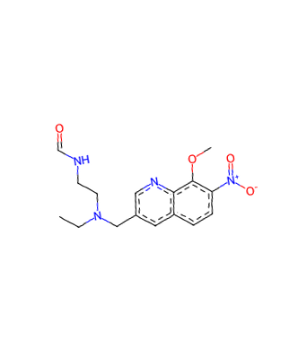 CCN(CCNC=O)Cc1cnc2c(OC)c([N+](=O)[O-])ccc2c1